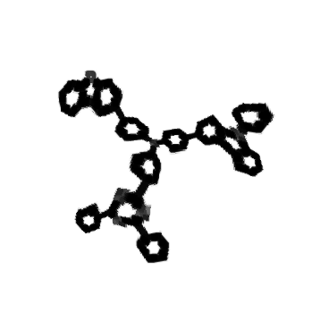 c1ccc(-c2nc(-c3ccccc3)nc(-c3ccc(N(c4ccc(-c5ccc6oc7ccccc7c6c5)cc4)c4ccc(-c5ccc6c(c5)c5ccccc5n6-c5ccccc5)cc4)cc3)n2)cc1